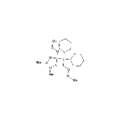 CC(C)(C)OOCC(C1CCCCC1)(C1CCCCC1)C(OOC(C)(C)C)(OOC(C)(C)C)OOC(C)(C)C